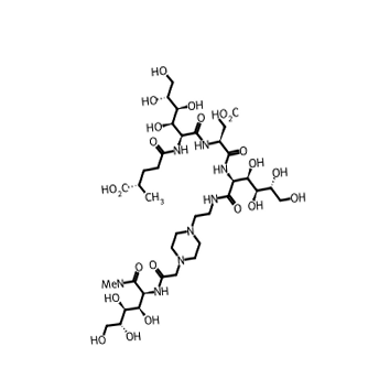 CNC(=O)[C@@H](NC(=O)CN1CCN(CCNC(=O)[C@@H](NC(=O)[C@H](CC(=O)O)NC(=O)[C@@H](NC(=O)CC[C@H](C)C(=O)O)[C@@H](O)[C@H](O)[C@H](O)CO)[C@@H](O)[C@H](O)[C@H](O)CO)CC1)[C@@H](O)[C@H](O)[C@H](O)CO